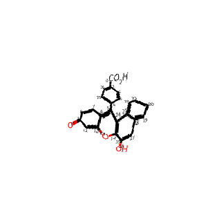 O=C(O)c1ccc(-c2c3ccc(=O)cc-3oc3c(O)cc4ccccc4c23)cc1